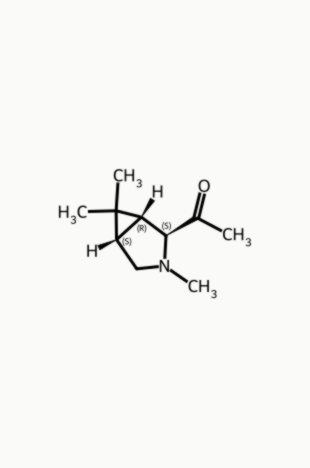 CC(=O)[C@@H]1[C@@H]2[C@H](CN1C)C2(C)C